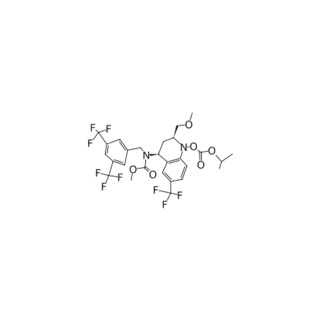 COC[C@@H]1C[C@H](N(Cc2cc(C(F)(F)F)cc(C(F)(F)F)c2)C(=O)OC)c2cc(C(F)(F)F)ccc2N1OC(=O)OC(C)C